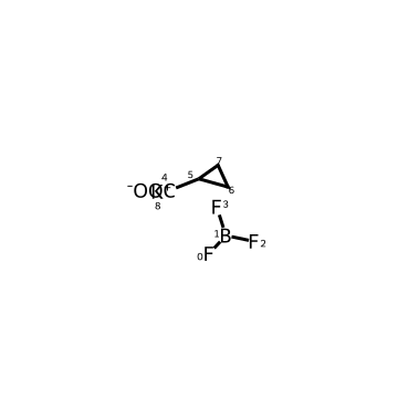 FB(F)F.O=C([O-])C1CC1.[K+]